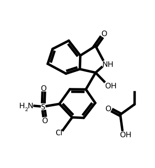 CCC(=O)O.NS(=O)(=O)c1cc(C2(O)NC(=O)c3ccccc32)ccc1Cl